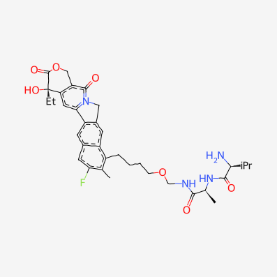 CC[C@@]1(O)C(=O)OCc2c1cc1n(c2=O)Cc2cc3c(CCCCOCNC(=O)[C@H](C)NC(=O)[C@@H](N)C(C)C)c(C)c(F)cc3cc2-1